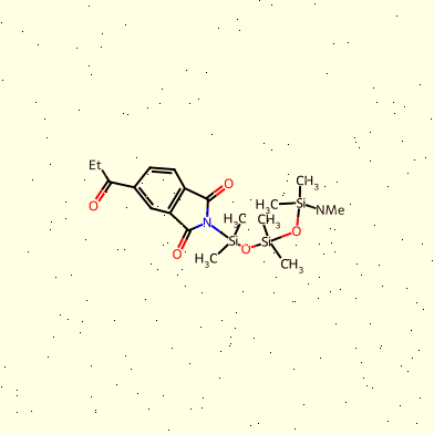 CCC(=O)c1ccc2c(c1)C(=O)N([Si](C)(C)O[Si](C)(C)O[Si](C)(C)NC)C2=O